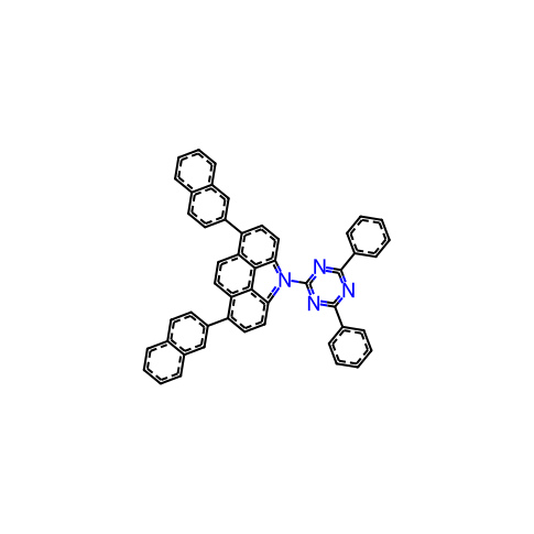 c1ccc(-c2nc(-c3ccccc3)nc(-n3c4ccc(-c5ccc6ccccc6c5)c5ccc6c(-c7ccc8ccccc8c7)ccc3c6c54)n2)cc1